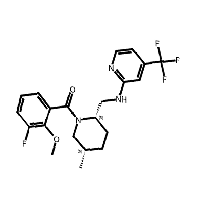 COc1c(F)cccc1C(=O)N1C[C@@H](C)CC[C@H]1CNc1cc(C(F)(F)F)ccn1